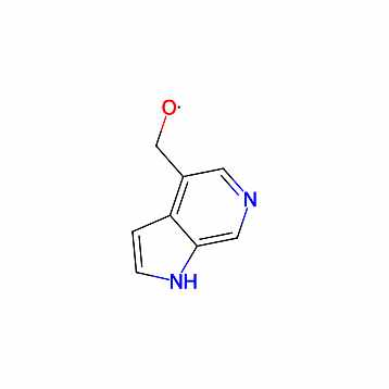 [O]Cc1cncc2[nH]ccc12